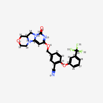 N#Cc1cc(COc2cc3n(c(=O)n2)CC2COCCN32)ccc1Oc1cccc(C(F)(F)F)c1